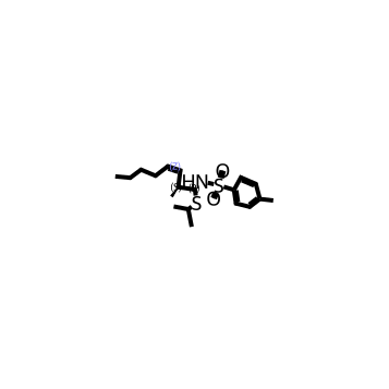 CCCC/C=C\[C@H](C)[C@H](NS(=O)(=O)c1ccc(C)cc1)SC(C)C